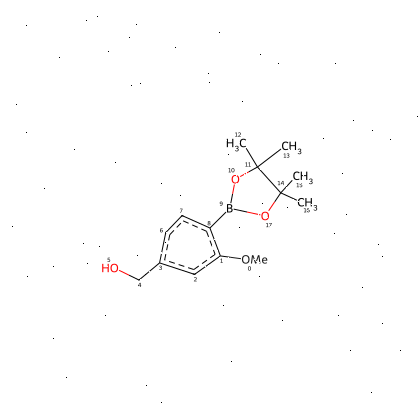 COc1cc(CO)ccc1B1OC(C)(C)C(C)(C)O1